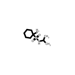 BC1(S(=O)(=O)NC(C)C)CCCCC1